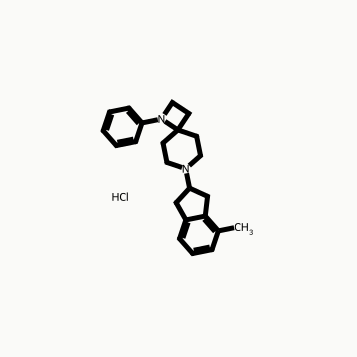 Cc1cccc2c1CC(N1CCC3(CC1)CCN3c1ccccc1)C2.Cl